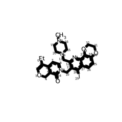 CCC1=COCc2c1ccn(Cc1c(CN3CCN(C)CC3)nc3c4c(ccc3c1I)OCCO4)c2=O